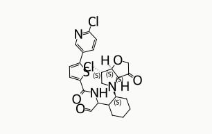 O=CC(NC(=O)c1ccc(-c2ccc(Cl)nc2)s1)C1CCCC[C@@H]1N1C[C@H](Cl)[C@H]2OCC(=O)[C@H]21